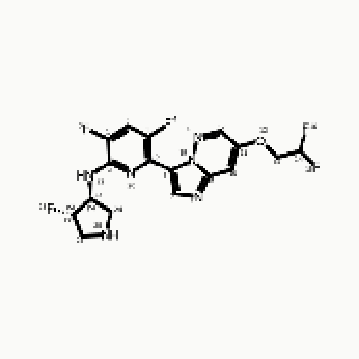 Fc1cc(F)c(-c2cnc3cc(OCC(F)F)cnn23)nc1N[C@H]1CNC[C@@H]1F